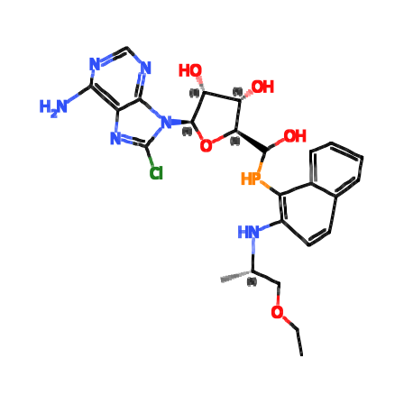 CCOC[C@H](C)Nc1ccc2ccccc2c1PC(O)[C@H]1O[C@@H](n2c(Cl)nc3c(N)ncnc32)[C@H](O)[C@@H]1O